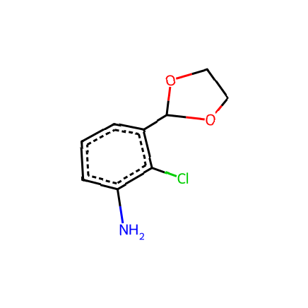 Nc1cccc(C2OCCO2)c1Cl